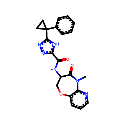 CN1C(=O)C(NC(=O)c2nnc(C3(c4ccccc4)CC3)[nH]2)COc2cccnc21